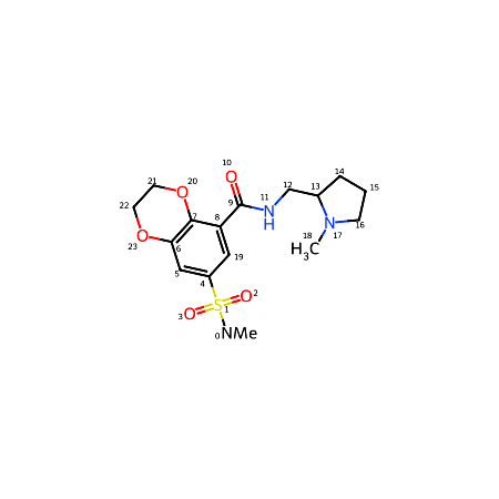 CNS(=O)(=O)c1cc2c(c(C(=O)NCC3CCCN3C)c1)OCCO2